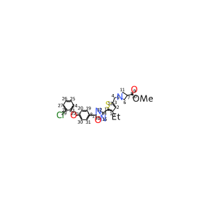 CCc1cc(CN2CC(C(=O)OC)C2)sc1-c1noc(-c2ccc(Oc3ccccc3Cl)cc2)n1